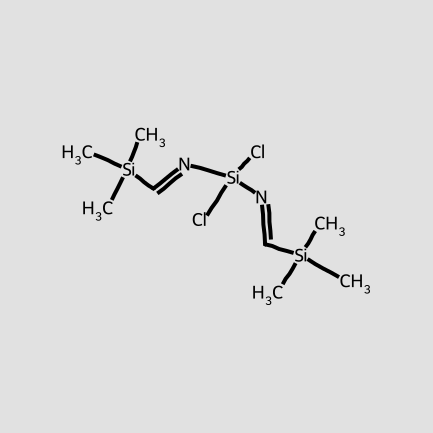 C[Si](C)(C)C=N[Si](Cl)(Cl)N=C[Si](C)(C)C